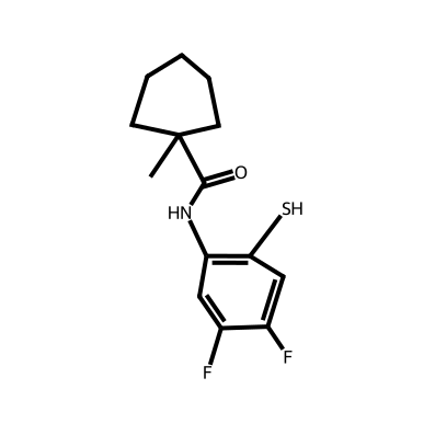 CC1(C(=O)Nc2cc(F)c(F)cc2S)CCCCC1